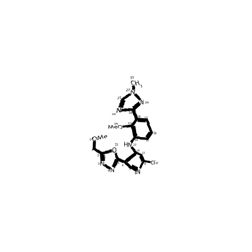 COCc1nnc(-c2cnc(Cl)cc2Nc2cccc(-c3ncn(C)n3)c2OC)o1